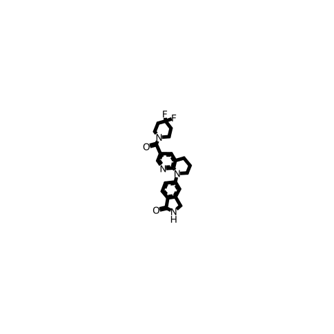 O=C1NCc2cc(N3CCCc4cc(C(=O)N5CCC(F)(F)CC5)cnc43)ccc21